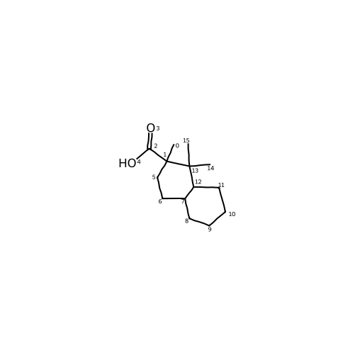 CC1(C(=O)O)CCC2CCCCC2C1(C)C